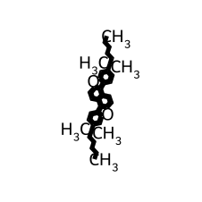 CCCCCC(C)(C)c1ccc2c(c1)oc1ccc3c(ccc4oc5cc(C(C)(C)CCCCC)ccc5c43)c12